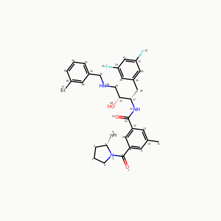 CCC[C@H]1CCCN1C(=O)c1cc(C)cc(C(=O)N[C@@H](Cc2cc(F)cc(F)c2)[C@H](O)CNCc2cccc(CC)c2)c1